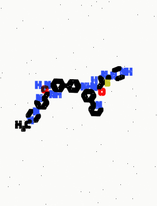 CN1CCN(c2ccc(C(=O)Nc3cc(-c4ccc(Nc5ccc(-c6ccccn6)cc5NC(=O)c5cnc(N6CCNCC6)s5)cc4)ccc3N)nc2)CC1